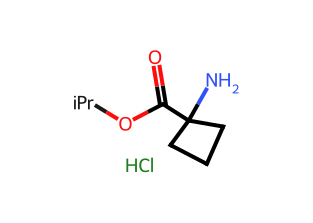 CC(C)OC(=O)C1(N)CCC1.Cl